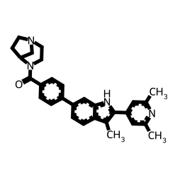 Cc1cc(-c2[nH]c3cc(-c4ccc(C(=O)N5CCN6CCC5C6)cc4)ccc3c2C)cc(C)n1